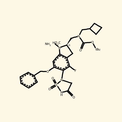 CC(C)(C)OC(=O)N(CC1CCC1)C[C@H]1Cc2c(cc(OCc3ccccc3)c(N3CC(=O)NS3(=O)=O)c2F)N1C(=O)O.N